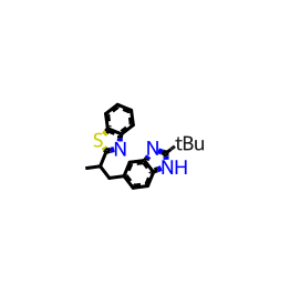 CC(Cc1ccc2[nH]c(C(C)(C)C)nc2c1)c1nc2ccccc2s1